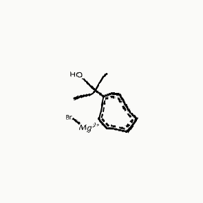 CC(C)(O)c1ccccc1.[Mg+2][Br]